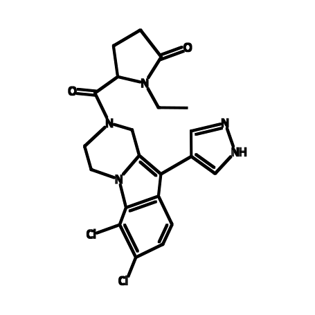 CCN1C(=O)CCC1C(=O)N1CCn2c(c(-c3cn[nH]c3)c3ccc(Cl)c(Cl)c32)C1